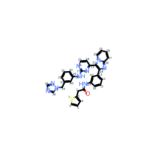 O=C(Cc1cccs1)Nc1cccc(-c2nc3ccccn3c2-c2ccnc(Nc3cccc(Cn4cncn4)c3)n2)c1